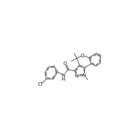 Cn1nc(C(=O)Nc2cccc(Cl)c2)c2c1-c1ccccc1OC2(C)C